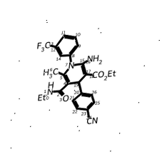 CCNC(=O)C1=C(C)N(c2cccc(C(F)(F)F)c2)C(N)=C(C(=O)OCC)C1c1ccc(C#N)cc1